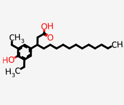 CCCCCCCCCCCCC(CC(=O)O)c1cc(CC)c(O)c(CC)c1